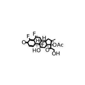 CC(=O)O[C@@]1(C(=O)CO)[C@H](C)C[C@H]2[C@@H]3C[C@H](F)C4=C(F)C(=O)C=C[C@]4(C)[C@@]3(F)[C@@H](O)C[C@@]21C